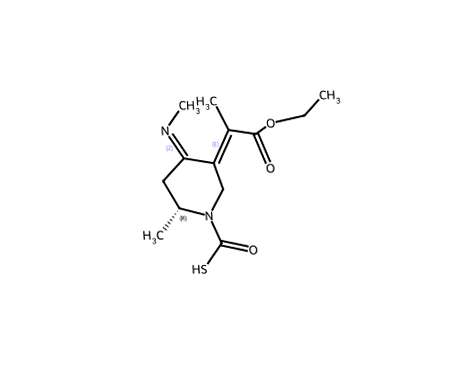 CCOC(=O)/C(C)=C1\CN(C(=O)S)[C@H](C)C\C1=N\C